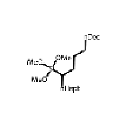 CCCCCCCCCCCCCC(CCCCCCC)[Si](OC)(OC)OC